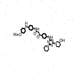 COc1ccc(Nc2ccc(NC(=O)CC(=O)c3ccc(Nc4nc(N5CCCCC5)nc(N5CCCC(O)C5)n4)cc3)cc2)cc1